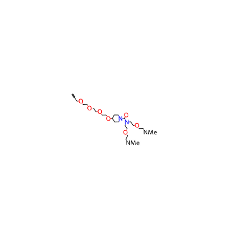 C#CCOCCOCCOCCOC1CCN(C(=O)N(CCOCCNC)CCOCCNC)CC1